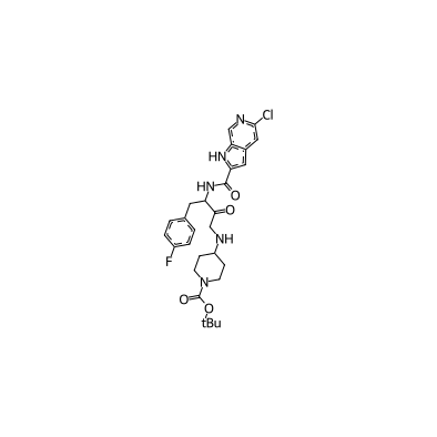 CC(C)(C)OC(=O)N1CCC(NCC(=O)C(Cc2ccc(F)cc2)NC(=O)c2cc3cc(Cl)ncc3[nH]2)CC1